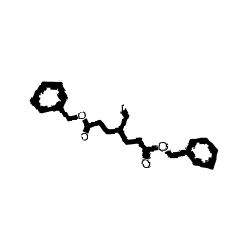 O=C(CCC(CI)CCC(=O)OCc1ccccc1)OCc1ccccc1